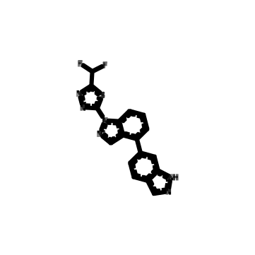 FC(F)c1nnc(-n2ncc3c(-c4ccc5cn[nH]c5c4)cccc32)s1